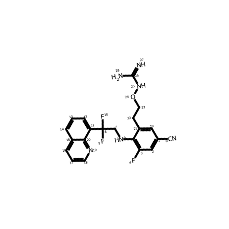 N#Cc1cc(F)c(NCC(F)(F)c2cccc3cccnc23)c(CCONC(=N)N)c1